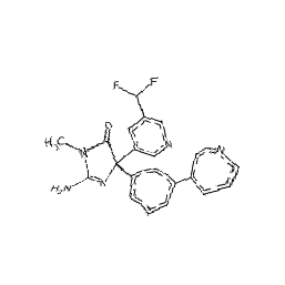 CN1C(=O)C(c2cccc(-c3cccnc3)c2)(c2cncc(C(F)F)c2)N=C1N